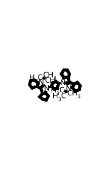 CC(C)(C)n1c2ccccc2c2c3ccccc3n(-c3ccc(-n4c5ccccc5c5c6ccccc6n(C(C)(C)C)c54)cc3)c21